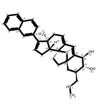 CNC[C@H]1C[C@@]23CC[C@@]4(O2)C(=CC[C@]2(C)C(c5ccc6ccccc6c5)=CC[C@H]24)C=C3[C@@H](O)[C@@H]1O